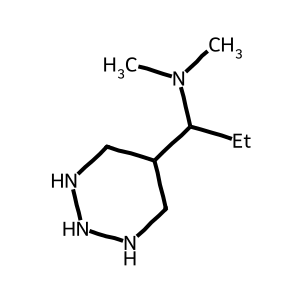 CCC(C1CNNNC1)N(C)C